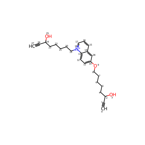 C#CC(O)CCCCCOc1ccc2c(ccc[n+]2CCCCCC(O)C#C)c1